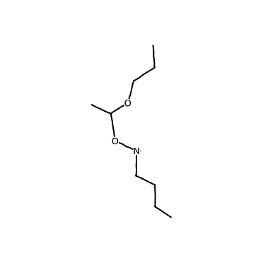 CCCC[N]OC(C)OCCC